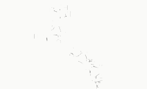 COc1cc(C[C@H](OC)C(C)=O)ccc1OCCCOc1ccc(Oc2ccc(C(F)(F)F)cc2)cc1